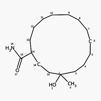 CC1(O)CCCCCCCCCCCC(C(N)=O)CC1